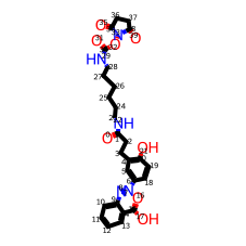 O=C(CCc1cc(N=Nc2ccccc2C(=O)O)ccc1O)NCCCCCCNC(=O)ON1C(=O)CCC1=O